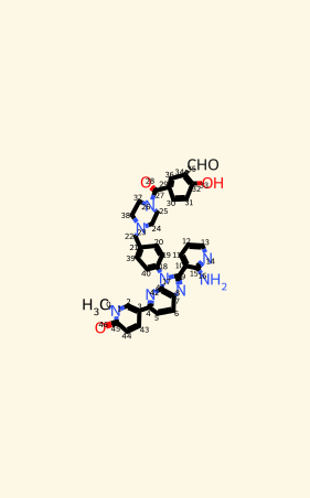 Cn1cc(-c2ccc3nc(-c4cccnc4N)n(-c4ccc(CN5CCN(C(=O)c6ccc(O)c(C=O)c6)CC5)cc4)c3n2)ccc1=O